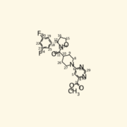 COC(=O)c1cc(N2CCC(C(=O)N3OCC[C@H]3c3cc(F)cc(F)c3)CC2)ncn1